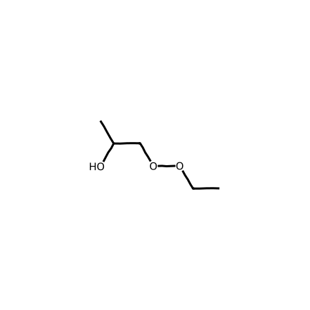 CCOOCC(C)O